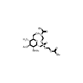 CC(=O)N[C@@H]1[C@@H](OC(C)=O)[C@H](C)[C@@H](COC(C)=O)O[C@@H]1CP(=O)(OCOC(=O)C(C)(C)C)OCOC(=O)C(C)(C)C